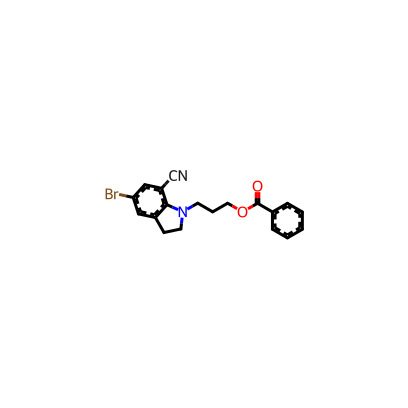 N#Cc1cc(Br)cc2c1N(CCCOC(=O)c1ccccc1)CC2